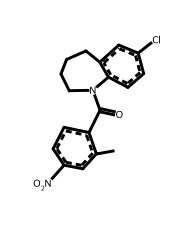 Cc1cc([N+](=O)[O-])ccc1C(=O)N1CCCCc2cc(Cl)ccc21